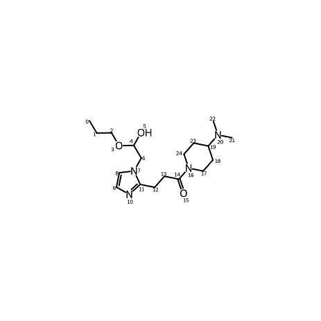 CCCOC(O)Cn1ccnc1CCC(=O)N1CCC(N(C)C)CC1